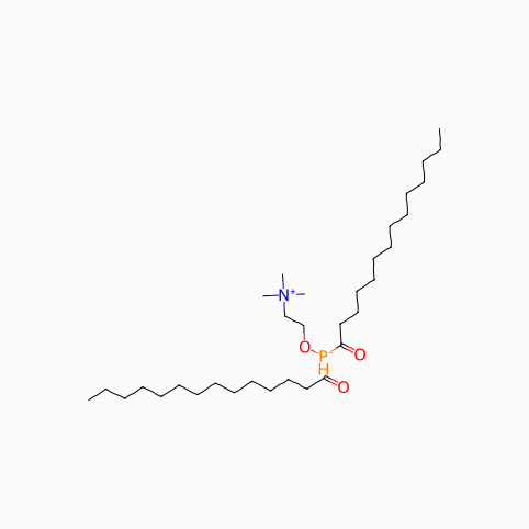 CCCCCCCCCCCCCC(=O)[PH-](OCC[N+](C)(C)C)C(=O)CCCCCCCCCCCCC